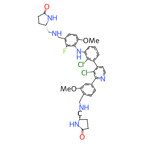 COc1cc(-c2nccc(-c3cccc(Nc4c(OC)ccc(CNC[C@@H]5CCC(=O)N5)c4F)c3Cl)c2Cl)ccc1CNC[C@H]1CCC(=O)N1